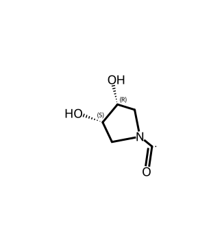 O=[C]N1C[C@@H](O)[C@@H](O)C1